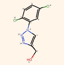 OCc1cn(-c2cc(Cl)ccc2Cl)nn1